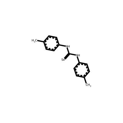 Cc1ccc(NC(=[Se])Nc2ccc(C)cc2)cc1